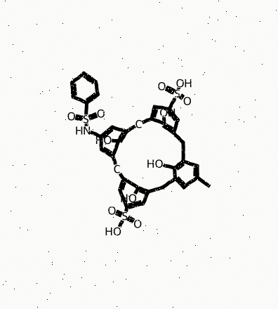 Cc1cc2c(O)c(c1)Cc1cc(S(=O)(=O)O)cc(c1O)Cc1cc(NS(=O)(=O)c3ccccc3)cc(c1O)Cc1cc(S(=O)(=O)O)cc(c1O)C2